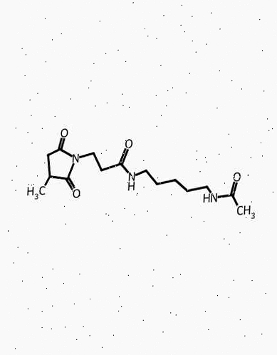 CC(=O)NCCCCCNC(=O)CCN1C(=O)CC(C)C1=O